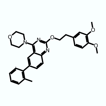 COc1ccc(CCOc2nc(N3CCOCC3)c3cc(-c4[c]cccc4C)ccc3n2)cc1OC